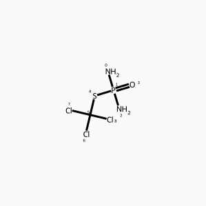 NP(N)(=O)SC(Cl)(Cl)Cl